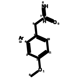 COc1ccc(C[SH](=N)=O)cc1.[Ar]